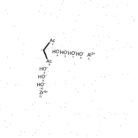 CC(=O)CC(C)=O.[Al+3].[OH-].[OH-].[OH-].[OH-].[OH-].[OH-].[OH-].[Zr+4]